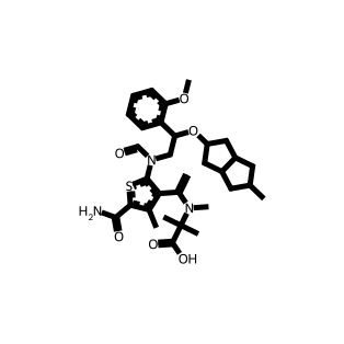 C=C(c1c(N(C=O)CC(OC2CC3CC(C)CC3C2)c2ccccc2OC)sc(C(N)=O)c1C)N(C)C(C)(C)C(=O)O